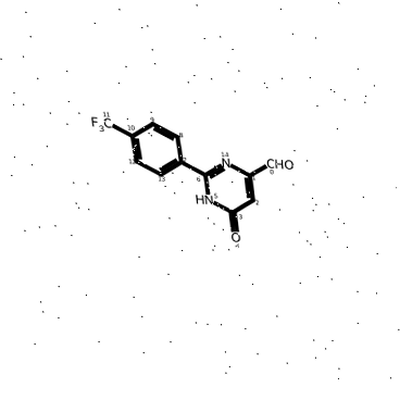 O=Cc1cc(=O)[nH]c(-c2ccc(C(F)(F)F)cc2)n1